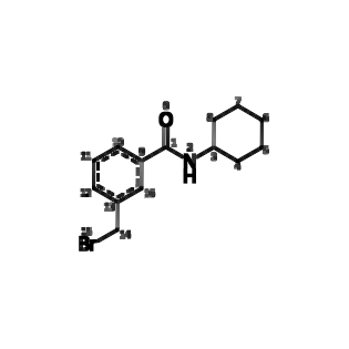 O=C(NC1CCCCC1)c1cccc(CBr)c1